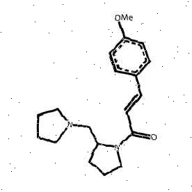 COc1ccc(C=CC(=O)N2CCCC2CN2CCCC2)cc1